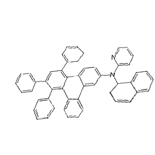 C1=CCCC(c2cc(-c3ccccc3)c(-c3ccccc3)c3c4ccccc4c4cc(N(c5ccccn5)C5CC=Cc6ccccc65)ccc4c23)=C1